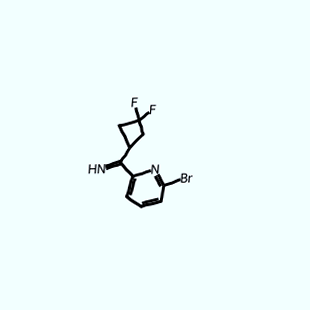 N=C(c1cccc(Br)n1)C1CC(F)(F)C1